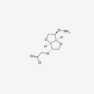 NO[C@@H]1CO[C@H]2[C@@H]1OC[C@@H]2OCC(=O)Cl